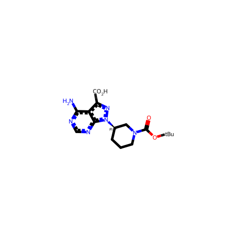 CC(C)(C)OC(=O)N1CCC[C@@H](n2nc(C(=O)O)c3c(N)ncnc32)C1